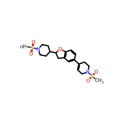 CCCS(=O)(=O)N1CCC(C2Cc3cc(C4=CCN(S(C)(=O)=O)CC4)ccc3O2)CC1